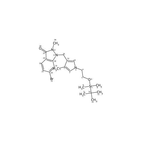 Cc1cn(CCO[Si](C)(C)C(C)(C)C)cc1Cn1c2cc(Br)ccc2c(=O)n1C